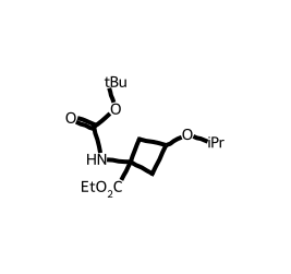 CCOC(=O)C1(NC(=O)OC(C)(C)C)CC(OC(C)C)C1